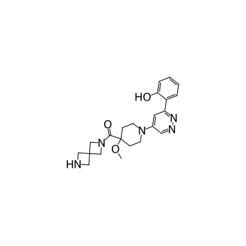 COC1(C(=O)N2CC3(CNC3)C2)CCN(c2cnnc(-c3ccccc3O)c2)CC1